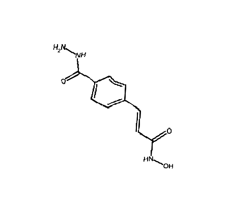 NNC(=O)c1ccc(C=CC(=O)NO)cc1